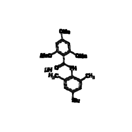 COc1cc(OC)c(C(=O)Pc2c(C)cc(C(C)(C)C)cc2C)c(OC)c1.[LiH]